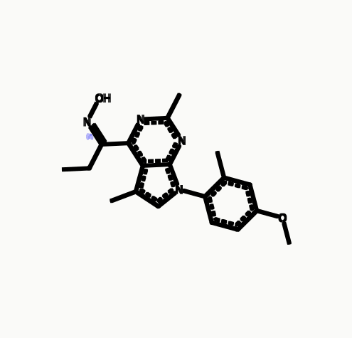 CC/C(=N/O)c1nc(C)nc2c1c(C)cn2-c1ccc(OC)cc1C